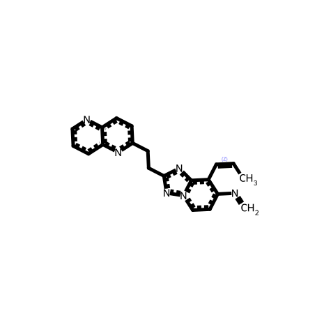 C=Nc1ccn2nc(CCc3ccc4ncccc4n3)nc2c1/C=C\C